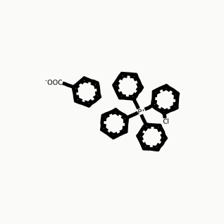 Clc1ccccc1[P+](c1ccccc1)(c1ccccc1)c1ccccc1.O=C([O-])c1ccccc1